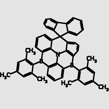 Cc1cc(C)c(B2c3cccc4c3N3c5c2cccc5C2(c5ccccc5-c5ccccc52)c2cccc(c23)B4c2c(C)cc(C)cc2C)c(C)c1